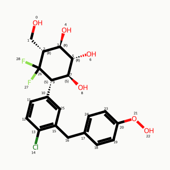 OC[C@@H]1[C@@H](O)[C@H](O)[C@@H](O)[C@H](c2ccc(Cl)c(Cc3ccc(OO)cc3)c2)C1(F)F